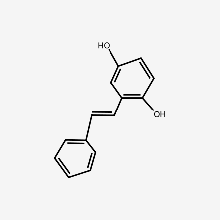 Oc1ccc(O)c(/C=C/c2ccccc2)c1